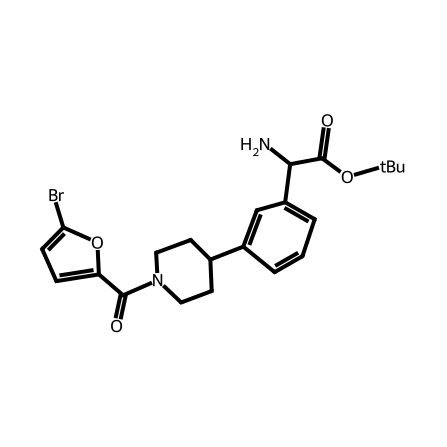 CC(C)(C)OC(=O)C(N)c1cccc(C2CCN(C(=O)c3ccc(Br)o3)CC2)c1